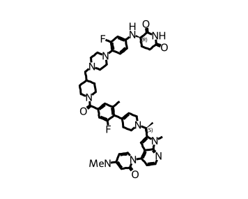 CNc1ccn(-c2ccnc3c2cc([C@H](C)N2CC=C(c4c(C)cc(C(=O)N5CCC(CN6CCN(c7ccc(N[C@@H]8CCC(=O)NC8=O)cc7F)CC6)CC5)cc4F)CC2)n3C)c(=O)c1